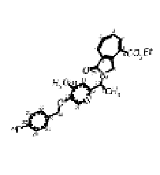 CCOC(=O)C1=CC=C=CC2=C1CN(C(C)c1cc(C)c(OCc3ccc(F)cc3)cn1)C2=O